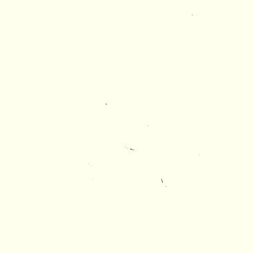 CCCCCCCCCCCCCCCCCCN(C(=O)CCCCCCCCCCC)[C@@H]1O[C@H](CO)[C@@H](O)[C@H](O)[C@H]1NC(=O)CN(C)C(=O)OCc1ccccc1